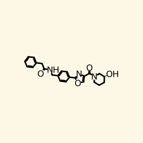 O=C(Cc1ccccc1)NCc1ccc(-c2nc(C(=O)N3CCC[C@@H](O)C3)co2)cc1